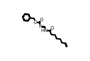 C=CCCCCCC(=O)NC=NC(=O)OCc1ccccc1